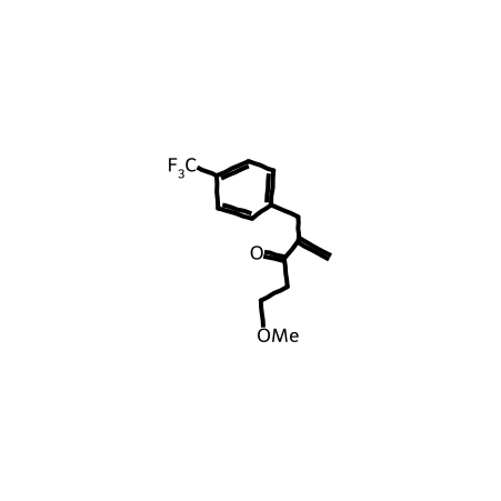 C=C(Cc1ccc(C(F)(F)F)cc1)C(=O)CCOC